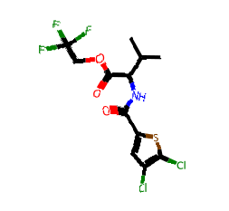 CC(C)C(NC(=O)c1cc(Cl)c(Cl)s1)C(=O)OCC(F)(F)F